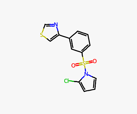 O=S(=O)(c1cccc(-c2cscn2)c1)n1cccc1Cl